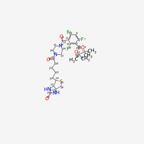 CC1(C)OB(c2c(F)cc(F)c(C(=O)N3CCN(C(=O)CCCCC4SCC5NC(=O)NC54)CC3)c2F)OC1(C)C